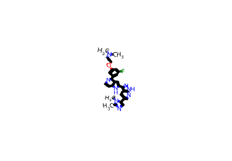 Cc1ncc(-c2cnc3[nH]nc(-c4cc5c(-c6cc(F)cc(OCCN(C)C)c6)nccc5[nH]4)c3c2)n1C